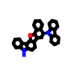 c1ccc2c(c1)[nH]c1ccc3c4cc(-n5c6ccccc6c6ccccc65)c5ccccc5c4oc3c12